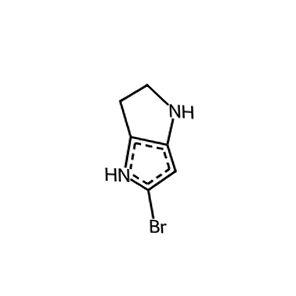 Brc1cc2c([nH]1)CCN2